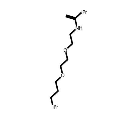 C=C(NCCOCCOCCCC(C)C)C(C)C